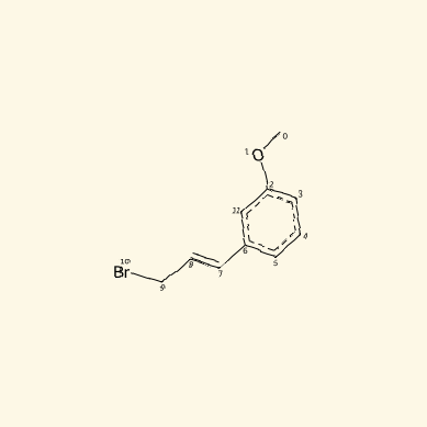 COc1cccc(C=CCBr)c1